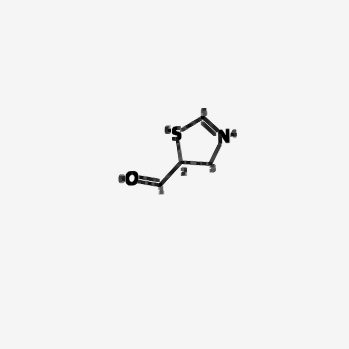 O=CC1CN=CS1